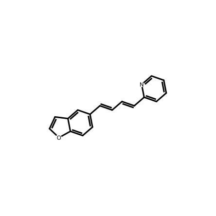 C(C=Cc1ccccn1)=Cc1ccc2occc2c1